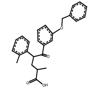 Cc1ccccc1C(CC(C)C(=O)O)C(=O)c1cccc(OCc2ccccc2)c1